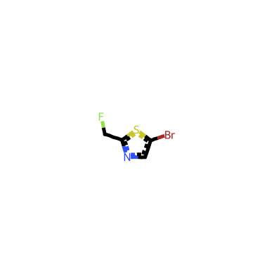 FCc1ncc(Br)s1